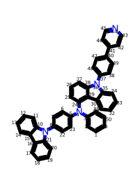 c1ccc(N(c2ccc(-n3c4ccccc4c4ccccc43)cc2)c2cccc3c2c2ccccc2n3-c2ccc(-c3ccncc3)cc2)cc1